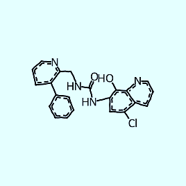 O=C(NCc1ncccc1-c1ccccc1)Nc1cc(Cl)c2cccnc2c1O